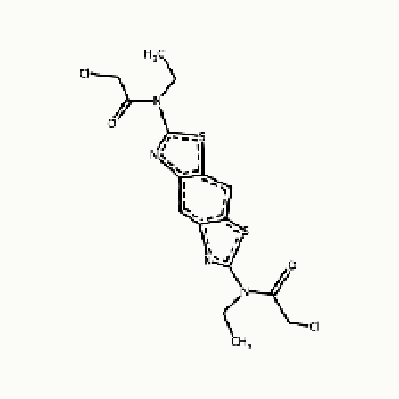 CCN(C(=O)CCl)c1nc2cc3nc(N(CC)C(=O)CCl)sc3cc2s1